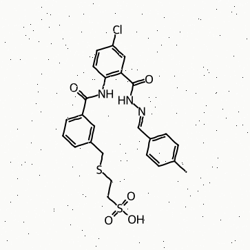 Cc1ccc(C=NNC(=O)c2cc(Cl)ccc2NC(=O)c2cccc(CSCCS(=O)(=O)O)c2)cc1